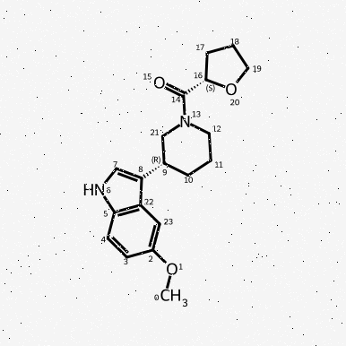 COc1ccc2[nH]cc([C@H]3CCCN(C(=O)[C@@H]4CCCO4)C3)c2c1